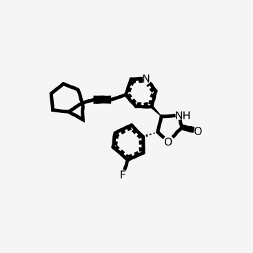 O=C1N[C@H](c2cncc(C#CC34CCCCC3C4)c2)[C@@H](c2cccc(F)c2)O1